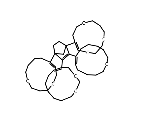 C1=C(C2=C(C3=CCCCCCCCCCC3)C3(C4=CCCCCCCCCCC4)CCC2(C2=CCCCCCCCCCC2)C3)CCCCCCCCCC1